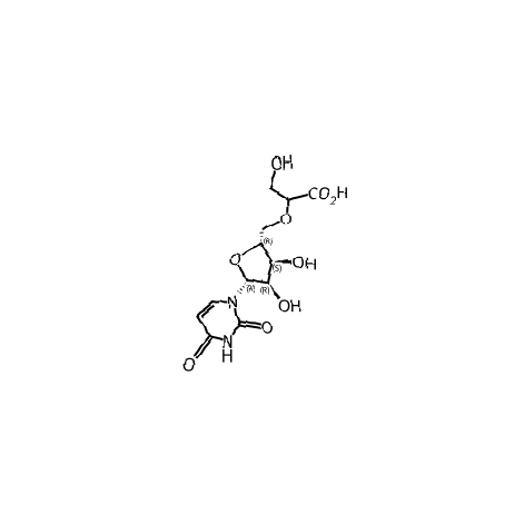 O=C(O)C(CO)OC[C@H]1O[C@@H](n2ccc(=O)[nH]c2=O)[C@H](O)[C@@H]1O